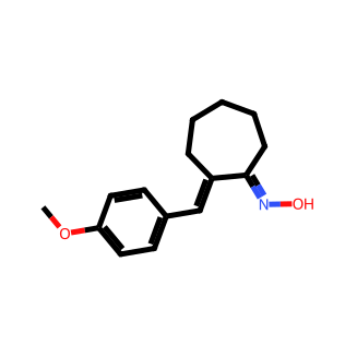 COc1ccc(C=C2CCCCCC2=NO)cc1